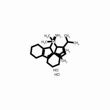 CC(C)C1=CC2=C(CCCC2)[CH]1[Hf]([CH3])([CH3])(=[SiH2])[CH]1C(C(C)C)=CC2=C1CCCC2.Cl.Cl